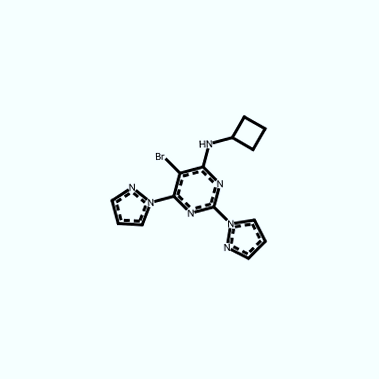 Brc1c(NC2CCC2)nc(-n2cccn2)nc1-n1cccn1